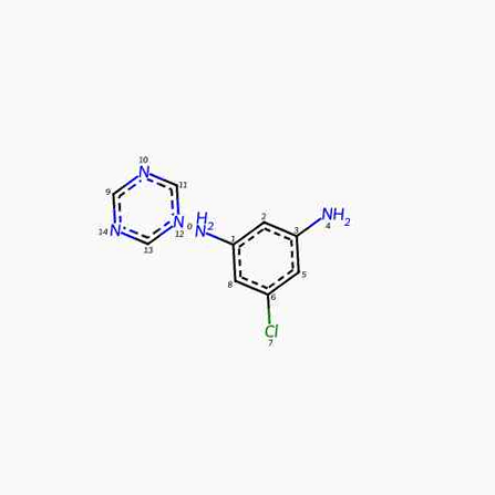 Nc1cc(N)cc(Cl)c1.c1ncncn1